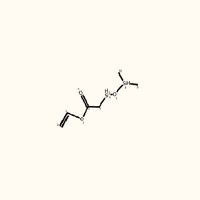 C=COC(=O)C[SiH2]O[SiH](C)C